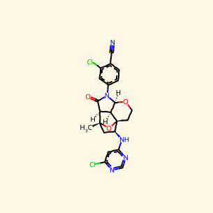 C[C@@]12C[C@H](Nc3cc(Cl)ncn3)[C@]3(CCO[C@H]4[C@@H]3[C@@H]1C(=O)N4c1ccc(C#N)c(Cl)c1)O2